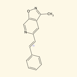 Cc1noc2cnc(/C=C/c3ccccc3)cc12